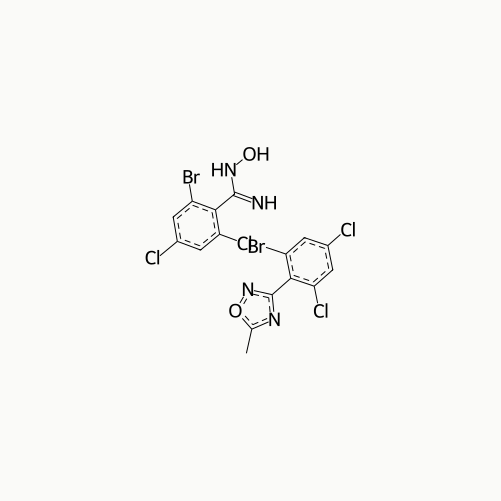 Cc1nc(-c2c(Cl)cc(Cl)cc2Br)no1.N=C(NO)c1c(Cl)cc(Cl)cc1Br